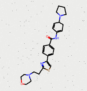 O=C(NC1=CCC(N2CCCC2)C=C1)c1ccc(-c2csc(CCN3CCOCC3)n2)cc1